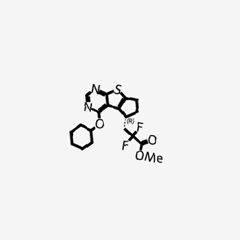 COC(=O)C(F)(F)C[C@H]1CCc2sc3ncnc(OC4CCCCC4)c3c21